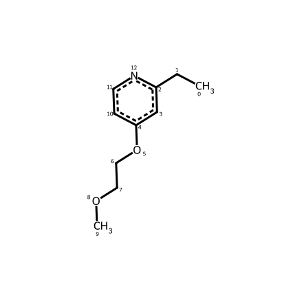 CCc1cc(OCCOC)ccn1